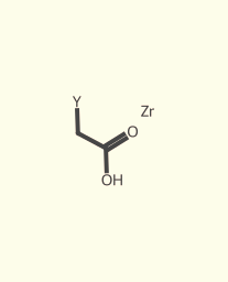 O=C(O)[CH2][Y].[Zr]